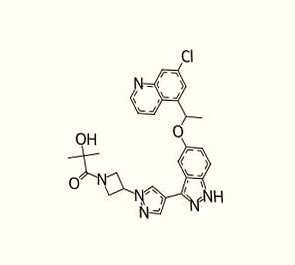 CC(Oc1ccc2[nH]nc(-c3cnn(C4CN(C(=O)C(C)(C)O)C4)c3)c2c1)c1cc(Cl)cc2ncccc12